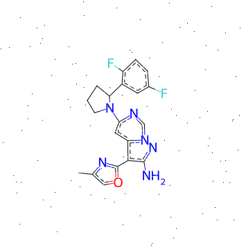 Cc1coc(-c2c(N)nn3cnc(N4CCCC4c4cc(F)ccc4F)cc23)n1